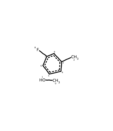 CO.Cc1cccc(F)c1